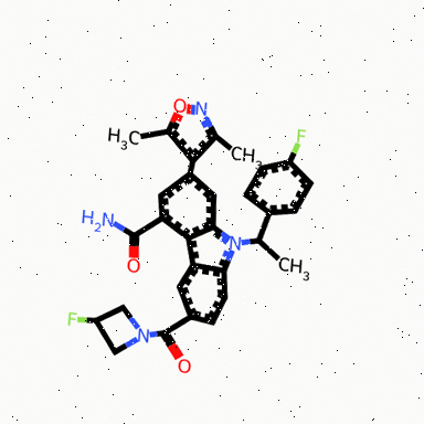 Cc1noc(C)c1-c1cc(C(N)=O)c2c3cc(C(=O)N4CC(F)C4)ccc3n(C(C)c3ccc(F)cc3)c2c1